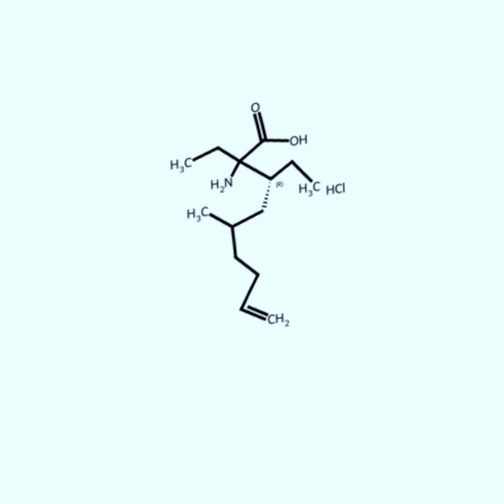 C=CCCC(C)C[C@@H](CC)C(N)(CC)C(=O)O.Cl